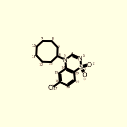 O=S1(=O)N=CN(C2CCCCCCC2)c2cc(Cl)ccc21